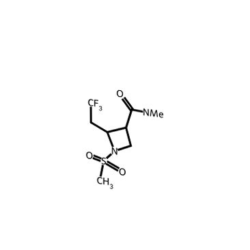 CNC(=O)C1CN(S(C)(=O)=O)C1CC(F)(F)F